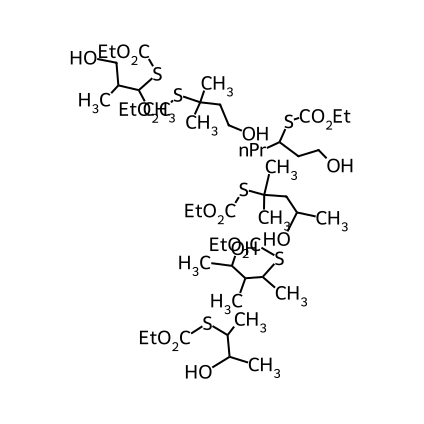 CCCC(CCO)SC(=O)OCC.CCOC(=O)SC(C)(C)CC(C)O.CCOC(=O)SC(C)(C)CCO.CCOC(=O)SC(C)C(C)C(C)O.CCOC(=O)SC(C)C(C)CO.CCOC(=O)SC(C)C(C)O